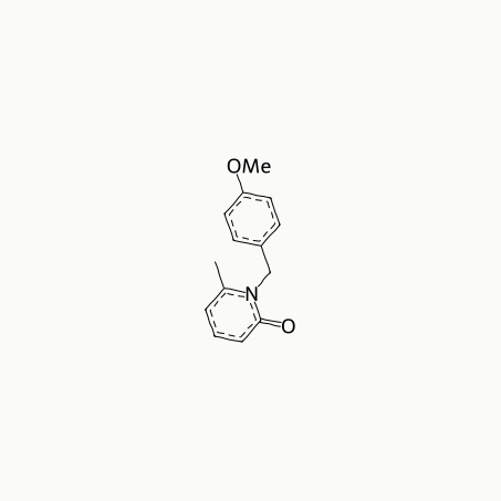 COc1ccc(Cn2c(C)cccc2=O)cc1